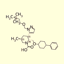 C[C@H]1C[C@H](c2ccnn2COCC[Si](C)(C)C)[C@H](COC2CCC(c3ccccc3)CC2)N(C(=O)O)C1